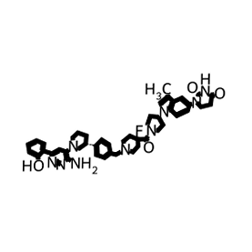 Cc1cn(C2CCN(C(=O)C3(F)CCN(Cc4ccc([C@H]5CCCN(c6cc(-c7ccccc7O)nnc6N)C5)cc4)CC3)CC2)c2ccc(N3CCC(=O)NC3=O)cc12